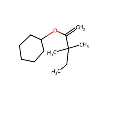 C=C(OC1CCCCC1)C(C)(C)CC